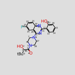 CC(C)(C)[C@@H](O)C(=O)N1CCN(c2nc(-c3ccccc3O)nc3ccc(F)cc23)CC1